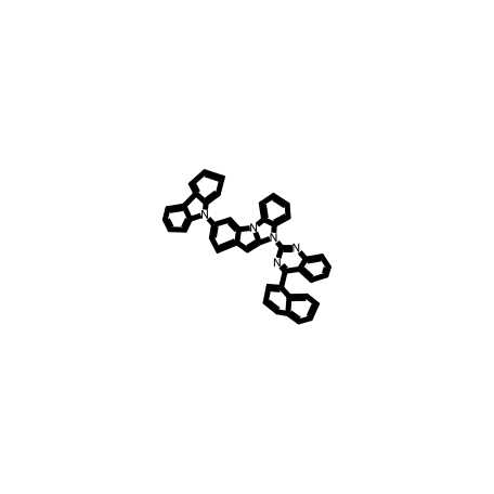 c1ccc2c(-c3nc(-n4c5ccccc5n5c6cc(-n7c8ccccc8c8ccccc87)ccc6cc45)nc4ccccc34)cccc2c1